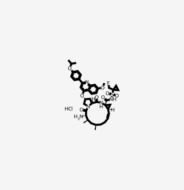 COc1ccc2c(O[C@@H]3C[C@H]4C(=O)N[C@]5(C(=O)NS(=O)(=O)C6(CF)CC6)C[C@H]5C=CCC[C@@H](C)C[C@@H](C)[C@H](N)C(=O)N4C3)cc(-c3ccc(OC(C)C)cc3)nc2c1.Cl